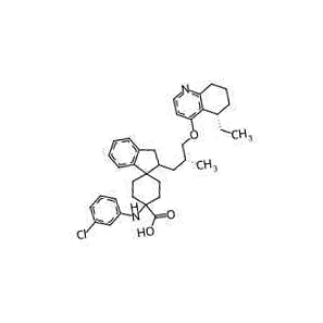 CC[C@H]1CCCc2nccc(OC[C@H](C)CC3Cc4ccccc4C34CCC(Nc3cccc(Cl)c3)(C(=O)O)CC4)c21